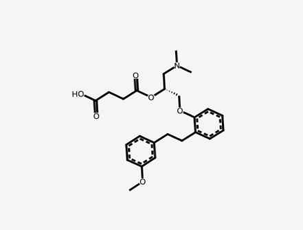 COc1cccc(CCc2ccccc2OC[C@@H](CN(C)C)OC(=O)CCC(=O)O)c1